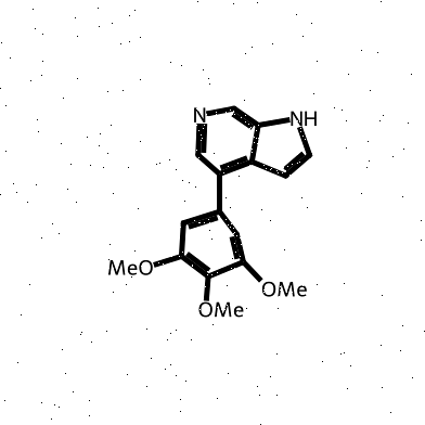 COc1cc(-c2cncc3[nH]ccc23)cc(OC)c1OC